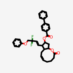 O=C1CCCC=CCC2C(CC(OC(=O)c3ccc(-c4ccccc4)cc3)C2C=CC(F)(F)COc2ccccc2)O1